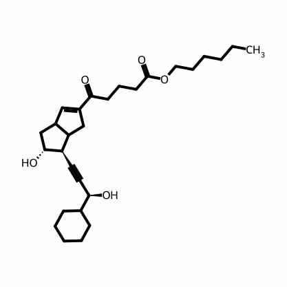 CCCCCCOC(=O)CCCC(=O)C1=CC2C[C@@H](O)[C@H](C#C[C@@H](O)C3CCCCC3)C2C1